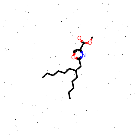 CCCCCCC(CCCCC)Cc1nc(C(=O)OC)co1